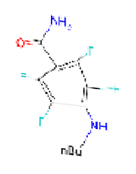 CCCCNc1c(F)c(F)c(C(N)=O)c(F)c1F